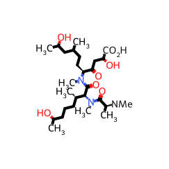 CN[C@@H](C)C(=O)N(C)[C@H](C(=O)N(C)[C@@H](CCC(C)CC(C)O)C(=O)CC(O)C(=O)O)[C@@H](C)CCCC(C)O